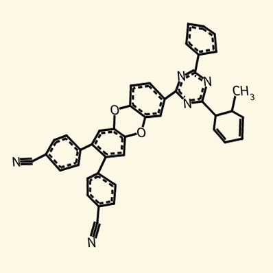 CC1C=CC=CC1c1nc(-c2ccccc2)nc(-c2ccc3c(c2)Oc2cc(-c4ccc(C#N)cc4)c(-c4ccc(C#N)cc4)cc2O3)n1